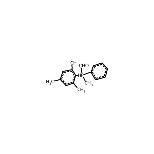 Cc1cc(C)c([PH](C)(C=O)c2ccccc2)c(C)c1